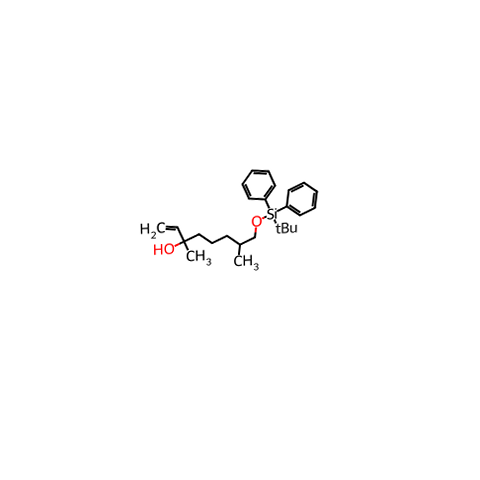 C=CC(C)(O)CCCC(C)CO[Si](c1ccccc1)(c1ccccc1)C(C)(C)C